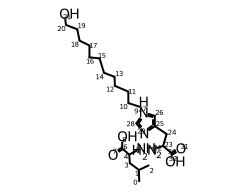 CC(C)CC(N)C(=O)O.CCCCCCCCCCCCO.NC(Cc1c[nH]cn1)C(=O)O